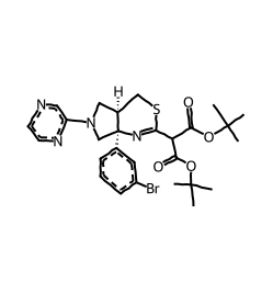 CC(C)(C)OC(=O)C(C(=O)OC(C)(C)C)C1=N[C@@]2(c3cccc(Br)c3)CN(c3cnccn3)C[C@H]2CS1